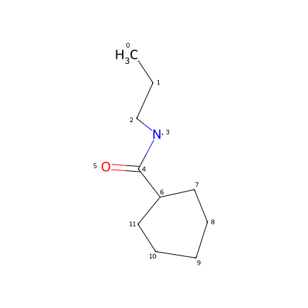 CCC[N]C(=O)C1CCCCC1